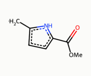 [CH2]c1ccc(C(=O)OC)[nH]1